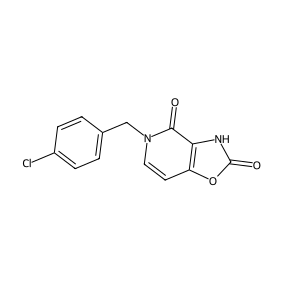 O=c1[nH]c2c(=O)n(Cc3ccc(Cl)cc3)ccc2o1